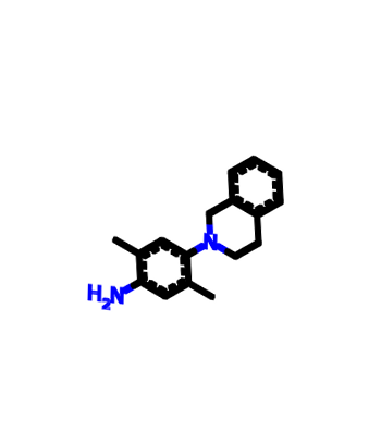 Cc1cc(N2CCc3ccccc3C2)c(C)cc1N